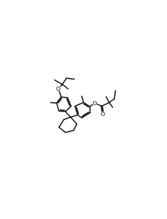 CCC(C)(C)Oc1ccc(C2(c3ccc(OC(=O)C(C)(C)CC)c(C)c3)CCCCC2)cc1C